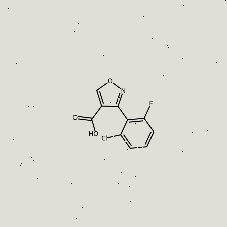 O=C(O)c1conc1-c1c(F)cccc1Cl